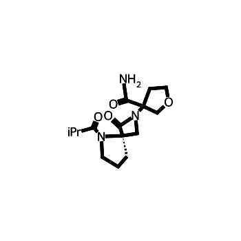 CC(C)C(=O)N1CCC[C@]12CN(C1(C(N)=O)CCOC1)C2=O